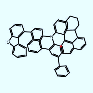 c1ccc(-c2ccc(N(c3ccc(-c4cccc5oc6ccccc6c45)cc3)c3ccccc3-c3cccc4cccc(C5CCCCC5)c34)c(-c3ccccc3)c2)cc1